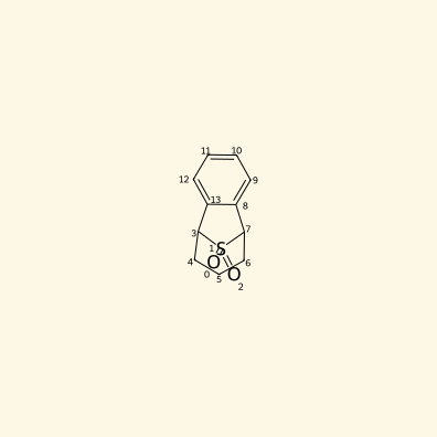 O=S1(=O)C2CCCC1c1ccccc12